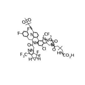 CC(C)(CNC(=O)O)CC(=O)N(Cc1nn(CC(F)(F)F)c2c(-c3ccc(C#CC(C)(C)S(C)(=O)=O)nc3C(Cc3cc(F)cc(F)c3)NC(=O)Cn3nc(C(F)(F)F)c4c3C(F)(F)[C@@H]3C[C@H]43)ccc(Cl)c12)[SH](=O)=O